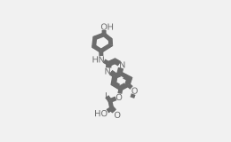 COc1cc2ncc(NC3CCC(O)CC3)nc2cc1OC(I)C(=O)O